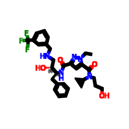 CCn1nc(C(=O)N[C@@H](Cc2ccccc2)[C@H](O)CNCc2cccc(C(F)(F)F)c2)cc1C(=O)N(CCCO)C1CC1